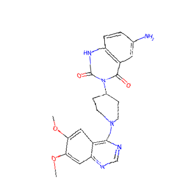 COc1cc2ncnc(N3CCC(n4c(=O)[nH]c5ccc(N)cc5c4=O)CC3)c2cc1OC